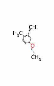 C#Cc1cc(OCCC)ccc1C